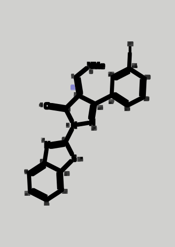 CN/C=C1/C(=O)N(c2nc3ccccc3s2)N=C1c1cccc(I)c1